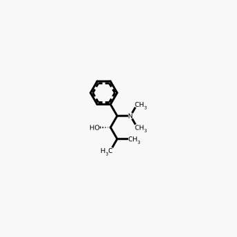 CC(C)[C@H](O)C(c1ccccc1)N(C)C